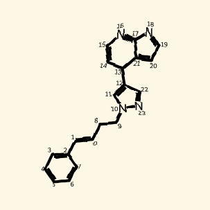 C(=Cc1ccccc1)CCn1cc(C2C=CN=C3N=CC=C32)cn1